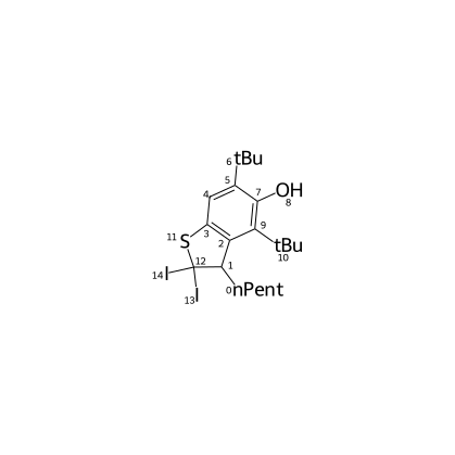 CCCCCC1c2c(cc(C(C)(C)C)c(O)c2C(C)(C)C)SC1(I)I